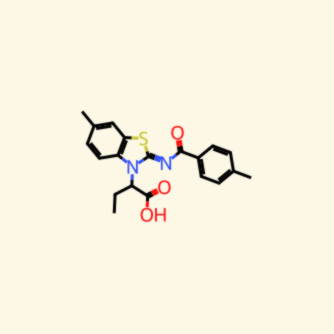 CCC(C(=O)O)n1c(=NC(=O)c2ccc(C)cc2)sc2cc(C)ccc21